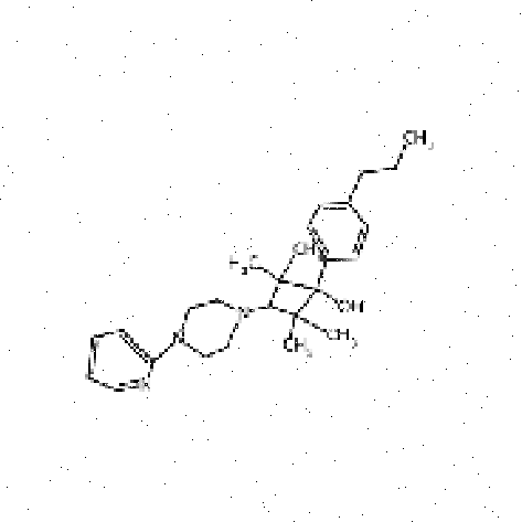 CCCc1ccc(C2(O)C(C)(C)C(N3CCN(c4ccccn4)CC3)C2(C)C)cc1